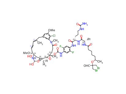 COc1cc2cc(c1Cl)N(C)C(=O)C[C@H](OC(=O)Nc1cc(F)c(NC(=O)[C@H](CCCNC(N)=O)NC(=O)[C@@H](NC(=O)CCCCC(C)OC(C=O)(CBr)CBr)C(C)C)cc1F)[C@]1(C)O[C@H]1[C@H](C)[C@@H]1C[C@@](O)(NC(O)O1)[C@H](OC)/C=C/C=C(\C)C2